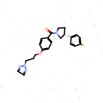 O=C(c1ccc(OC[CH]Cn2nccn2)cc1)N1CC[C@H](c2ccc(F)cc2)C1